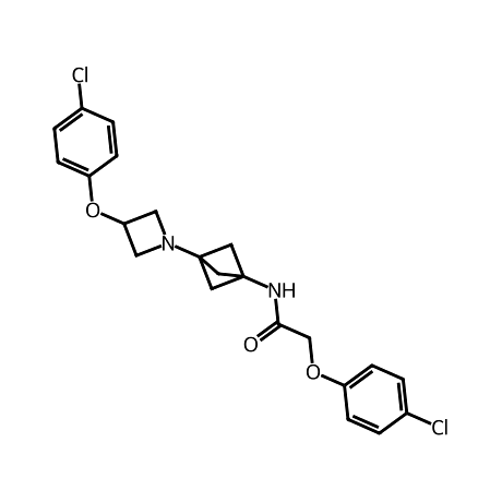 O=C(COc1ccc(Cl)cc1)NC12CC(N3CC(Oc4ccc(Cl)cc4)C3)(C1)C2